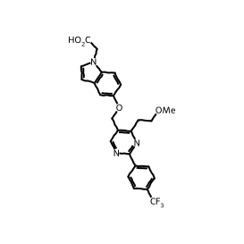 COCCc1nc(-c2ccc(C(F)(F)F)cc2)ncc1COc1ccc2c(ccn2CC(=O)O)c1